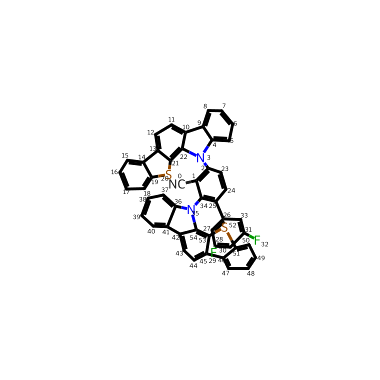 N#Cc1c(-n2c3ccccc3c3ccc4c5ccccc5sc4c32)ccc(-c2cc(F)cc(F)c2)c1-n1c2ccccc2c2ccc3c4ccccc4sc3c21